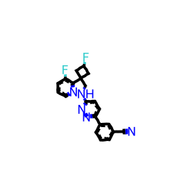 N#Cc1cccc(-c2ccc(NCC3(c4ncccc4F)CC(F)C3)nn2)c1